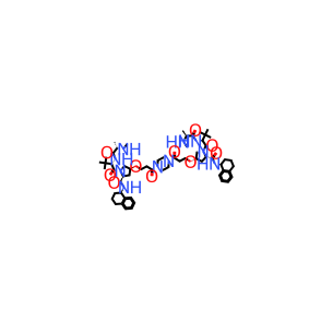 CN[C@@H](C)C(=O)N[C@H](C(=O)N1C[C@@H](OCCC(=O)N2CCN(C(=O)CCO[C@H]3C[C@@H](C(=O)N[C@@H]4CCCc5ccccc54)N(C(=O)[C@@H](NC(=O)[C@H](C)NC)C(C)(C)C)C3)CC2)C[C@H]1C(=O)N[C@@H]1CCCc2ccccc21)C(C)(C)C